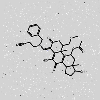 COCC1OC(=O)/C(=C\N(CCC#N)Cc2ccccc2)C2=C(O)C(=O)C3=C(C(OC(C)=O)CC4(C)C(O)CCC34)C21C